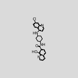 O=C(NC1CCC(Nc2ccnc3cc(Cl)ccc23)CC1)c1ccc2cccnc2c1O